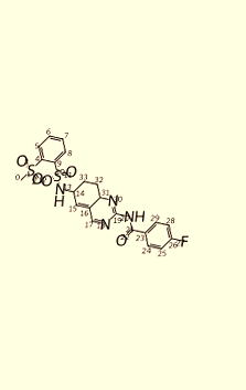 CS(=O)(=O)c1ccccc1S(=O)(=O)NC1C=C2C=NC(NC(=O)c3ccc(F)cc3)=NC2CC1